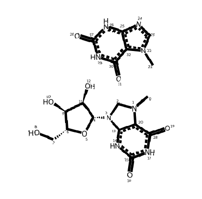 CN1CN([C@@H]2O[C@H](CO)[C@@H](O)[C@H]2O)c2[nH]c(=O)[nH]c(=O)c21.Cn1cnc2[nH]c(=O)[nH]c(=O)c21